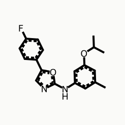 Cc1cc(Nc2ncc(-c3ccc(F)cc3)o2)cc(OC(C)C)c1